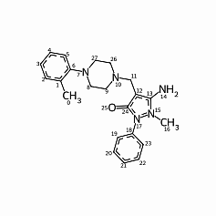 Cc1ccccc1N1CCN(Cc2c(N)n(C)n(-c3ccccc3)c2=O)CC1